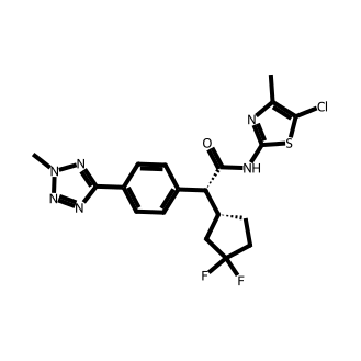 Cc1nc(NC(=O)[C@@H](c2ccc(-c3nnn(C)n3)cc2)[C@@H]2CCC(F)(F)C2)sc1Cl